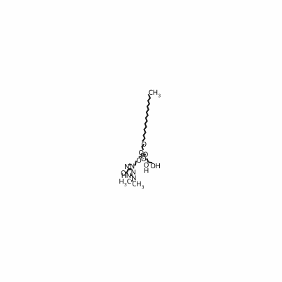 CCCCCCCCCCCCCCCCCCOCCOP(=O)(COCCn1cnc2c(=O)[nH]c(N=C(C)C)nc21)OCC(O)CO